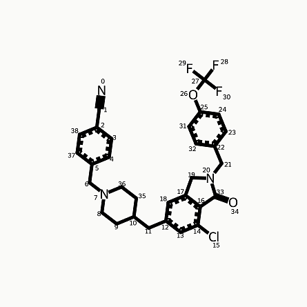 N#Cc1ccc(CN2CCC(Cc3cc(Cl)c4c(c3)CN(Cc3ccc(OC(F)(F)F)cc3)C4=O)CC2)cc1